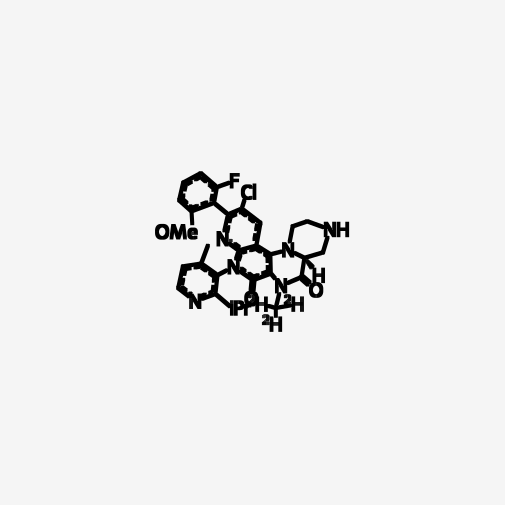 [2H]C([2H])([2H])N1C(=O)[C@H]2CNCCN2c2c1c(=O)n(-c1c(C)ccnc1C(C)C)c1nc(-c3c(F)cccc3OC)c(Cl)cc21